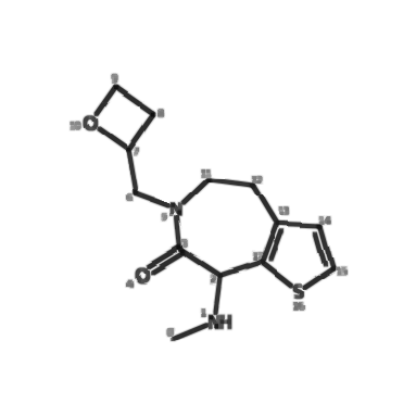 CNC1C(=O)N(CC2CCO2)CCc2ccsc21